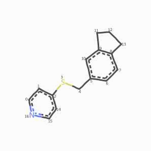 c1cc(SCc2ccc3c(c2)CCC3)ccn1